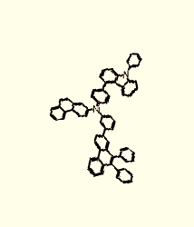 c1ccc(-c2c(-c3ccccc3)c3cc(-c4cccc(N(c5ccc(-c6cccc7c6c6ccccc6n7-c6ccccc6)cc5)c5ccc6c(ccc7ccccc76)c5)c4)ccc3c3ccccc23)cc1